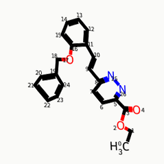 CCOC(=O)c1ccc(/C=C/c2ccccc2OCc2ccccc2)nn1